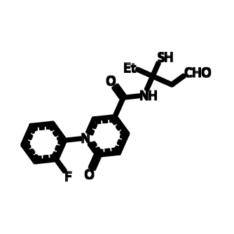 CCC(S)(CC=O)NC(=O)c1ccc(=O)n(-c2ccccc2F)c1